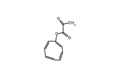 CC(=O)C(=O)OC1=CC=CC=CC=C1